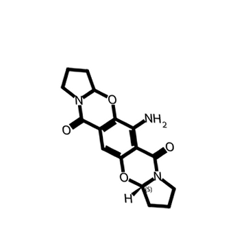 Nc1c2c(cc3c1C(=O)N1CCC[C@@H]1O3)C(=O)N1CCCC1O2